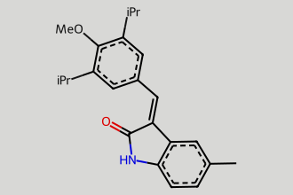 COc1c(C(C)C)cc(C=C2C(=O)Nc3ccc(C)cc32)cc1C(C)C